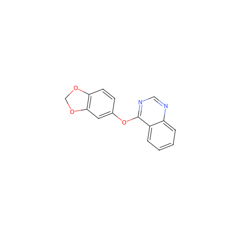 c1ccc2c(Oc3ccc4c(c3)OCO4)ncnc2c1